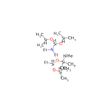 CCN(CC)[SiH](O[SiH](C)C)O[SiH](C)C.CC[SiH](O[SiH](C)C)O[Si](C)(C)NC